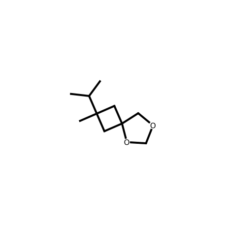 CC(C)C1(C)CC2(COCO2)C1